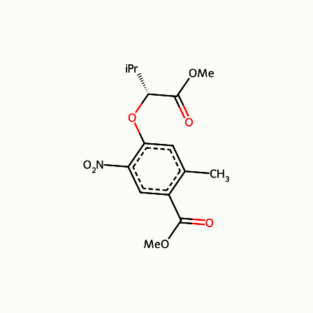 COC(=O)c1cc([N+](=O)[O-])c(O[C@@H](C(=O)OC)C(C)C)cc1C